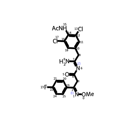 CO/N=C(\CC(=O)/N=C(\N)Cc1cc(Cl)c(NC(C)=O)c(Cl)c1)c1ccc(F)cc1